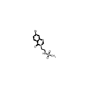 CS(=O)(=O)NCCn1cnc2cc(Br)ccc2c1=O